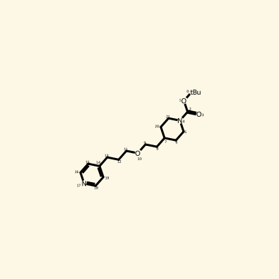 CC(C)(C)OC(=O)N1CCC(CCOCCCc2ccncc2)CC1